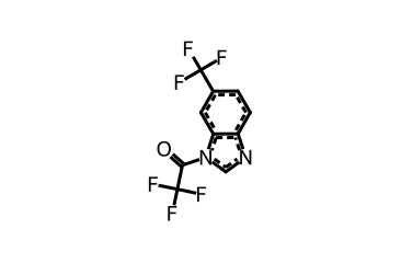 O=C(n1cnc2ccc(C(F)(F)F)cc21)C(F)(F)F